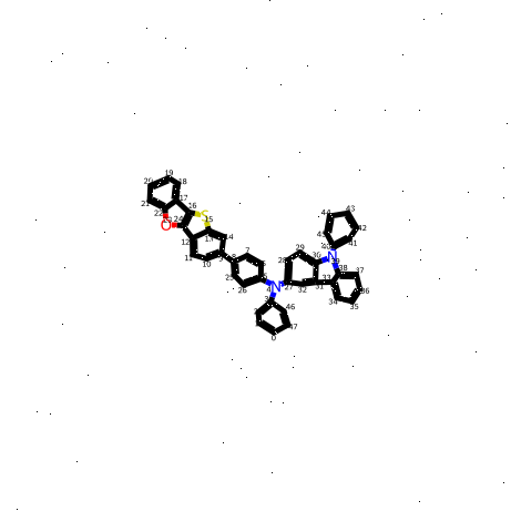 c1ccc(N(c2ccc(-c3ccc4c(c3)sc3c5ccccc5oc43)cc2)c2ccc3c(c2)c2ccccc2n3-c2ccccc2)cc1